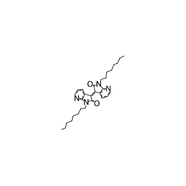 CCCCCCCCN1C(=O)/C(=C2/C(=O)N(CCCCCCCC)c3ncccc32)c2cccnc21